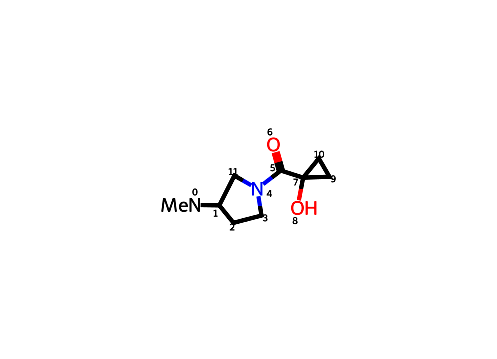 CNC1CCN(C(=O)C2(O)CC2)C1